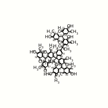 Cc1cc(C(c2cc(C)c(O)cc2C)c2cc(C(C)(C)c3ccc(C(C)(c4cc(C)c(O)c(C(c5cc(C)c(O)cc5C)c5cc(C)c(O)cc5C)c4)c4cc(C)c(O)c(C(c5cc(C)c(O)cc5C)c5cc(C)c(O)cc5C)c4)cc3)cc(C)c2O)c(C)cc1O